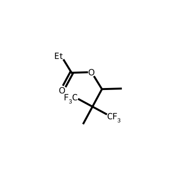 CCC(=O)OC(C)C(C)(C(F)(F)F)C(F)(F)F